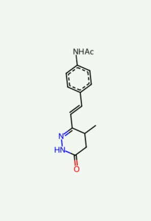 CC(=O)Nc1ccc(/C=C/C2=NNC(=O)CC2C)cc1